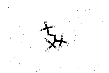 FC(F)(F)CC[C](C(F)(F)F)C(F)(F)F